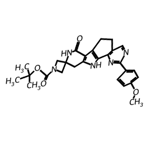 COc1ccc(-c2ncc3c(n2)-c2[nH]c4c(c2CC3)C(=O)NC2(C4)CN(C(=O)OC(C)(C)C)C2)cc1